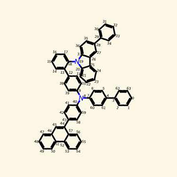 c1ccc(-c2ccc(N(c3ccc(-c4ccccc4-n4c5ccccc5c5cc(-c6ccccc6)ccc54)cc3)c3ccc(-c4cc5ccccc5c5ccccc45)cc3)cc2)cc1